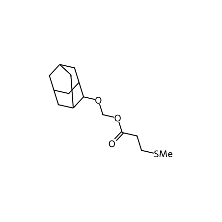 CSCCC(=O)OCOC1C2CC3CC(C2)CC1C3